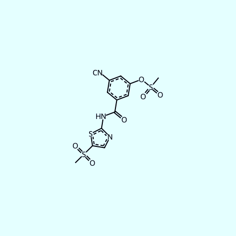 [C-]#[N+]c1cc(OS(C)(=O)=O)cc(C(=O)Nc2ncc(S(C)(=O)=O)s2)c1